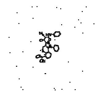 N#CC(C(=O)Nc1ccccc1)C(=O)c1nn(-c2ccccc2)c2c1CSc1c(C(=O)O)cccc1-2